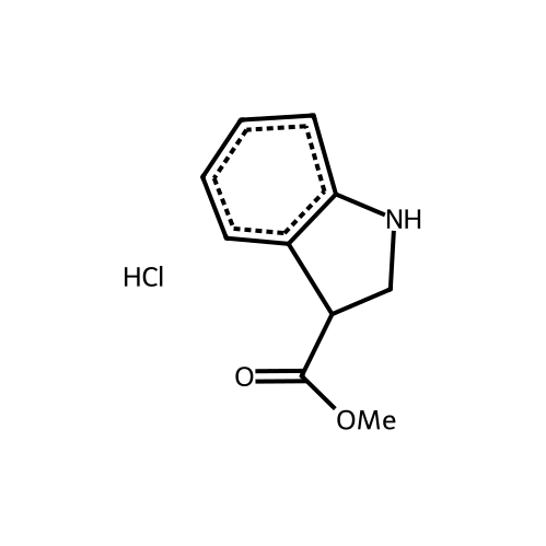 COC(=O)C1CNc2ccccc21.Cl